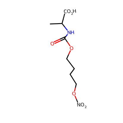 CC(NC(=O)OCCCCO[N+](=O)[O-])C(=O)O